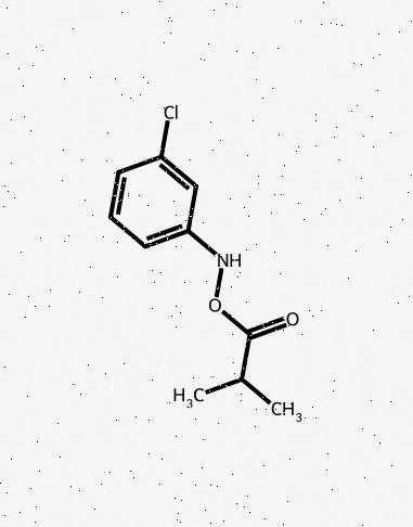 CC(C)C(=O)ONc1cccc(Cl)c1